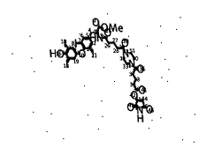 COC(=O)[C@H](Cc1cc(I)c(Oc2cc(I)c(O)c(I)c2)c(I)c1)NC(=O)CCCC(=O)N1CCN(C(=O)CCCC(=O)OC2CC(=O)NC2=O)CC1